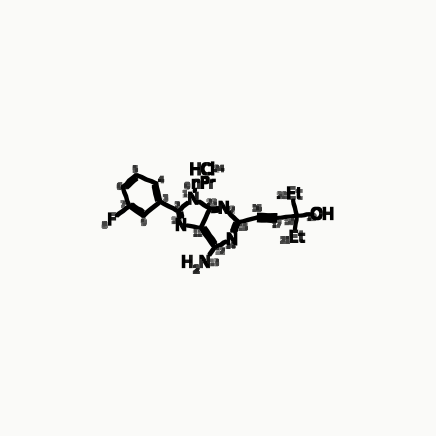 CCCn1c(-c2cccc(F)c2)nc2c(N)nc(C#CC(O)(CC)CC)nc21.Cl